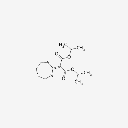 CC(C)OC(=O)C(C(=O)OC(C)C)=C1SCCCCS1